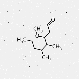 CCCC(C)C(C)C(CC=O)OC